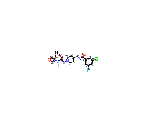 CC1(NC(=O)CN2CCC(CNC(=O)c3cc(F)cc(Cl)c3)CC2)COC1